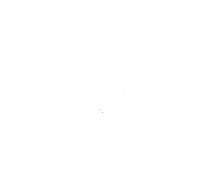 O=C(CCSC(c1ccccc1)(c1ccccc1)c1ccccc1)OC(=O)[C@@H]1CCCN1